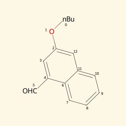 CCCCOc1cc(C=O)c2ccccc2c1